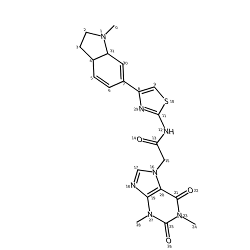 CN1CCC2C=CC(c3csc(NC(=O)Cn4cnc5c4c(=O)n(C)c(=O)n5C)n3)=CC21